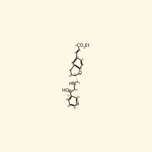 CCOC(=O)/C=C/c1ccc2c(c1)CC[C@@H](CNC[C@H](O)c1cccnc1)O2